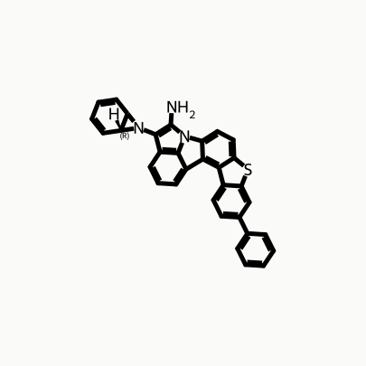 Nc1c(N2C3C=CC=C[C@H]32)c2cccc3c4c5c(ccc4n1c23)sc1cc(-c2ccccc2)ccc15